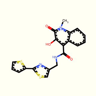 Cn1c(=O)c(O)c(C(=O)NCc2csc(-c3cccs3)n2)c2ccccc21